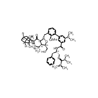 COc1c(CN2O[C@@H](CO)[C@@H]([C@H](C)O)[C@H]2C(=O)N[C@@H]2C[C@H]3C[C@@H]([C@@H]2C)C3(C)C)cccc1-c1cc(C(=O)N[C@H](CN=C(N(C)C)N(C)C)Cc2ccccc2)cc(N(C)C)c1